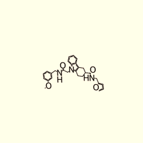 COc1cccc(CNC(=O)Cn2c3c(c4ccccc42)CC(C(=O)NCc2ccco2)CC3)c1